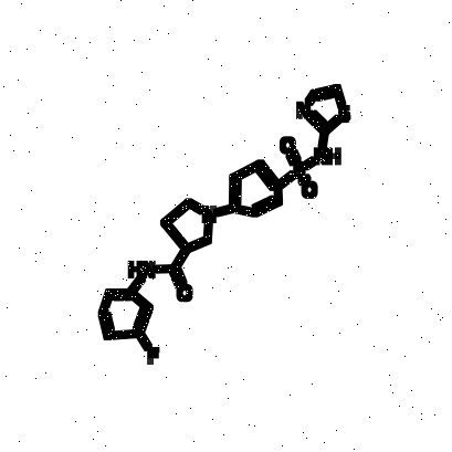 O=C(Nc1cccc(F)c1)C1CCN(c2ccc(S(=O)(=O)Nc3nccs3)cc2)C1